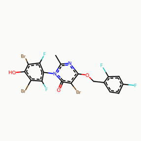 Cc1nc(OCc2ccc(F)cc2F)c(Br)c(=O)n1-c1c(F)c(Br)c(O)c(Br)c1F